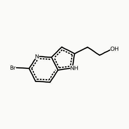 OCCc1cc2nc(Br)ccc2[nH]1